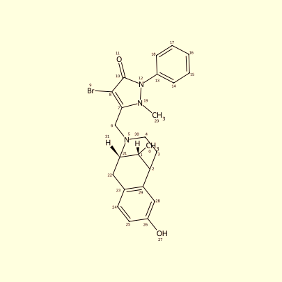 C[C@@H]1C2CCN(Cc3c(Br)c(=O)n(-c4ccccc4)n3C)[C@H]1Cc1ccc(O)cc12